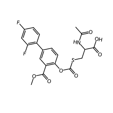 COC(=O)c1cc(-c2ccc(F)cc2F)ccc1OC(=O)SCC(NC(C)=O)C(=O)O